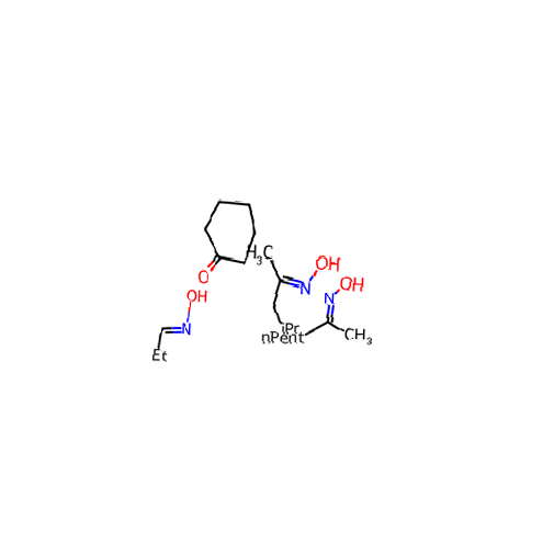 CC(CC(C)C)=NO.CCC=NO.CCCCCC(C)=NO.O=C1CCCCC1